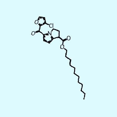 CCCCCCCCCCCCOC(=O)C1CCn2c(C(=O)c3occc3Cl)ccc21